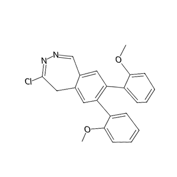 COc1ccccc1-c1cc2c(cc1-c1ccccc1OC)CC(Cl)=NN=C2